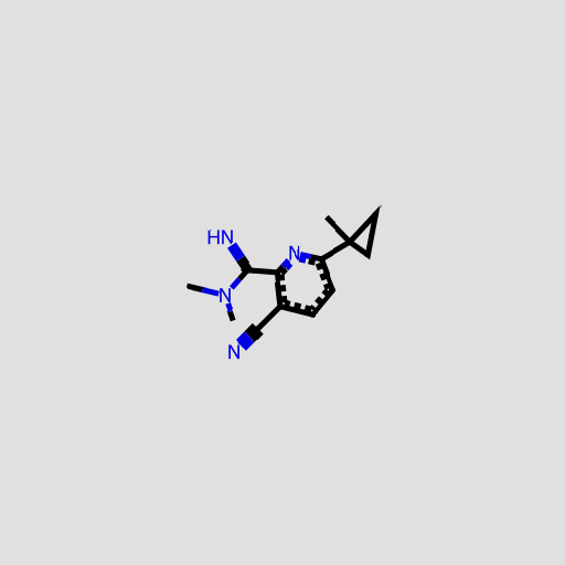 CN(C)C(=N)c1nc(C2(C)CC2)ccc1C#N